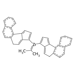 C[C](C)=[Zr]([C]1=CC=C2C1=CCc1ccc3ccccc3c12)[C]1=CC=C2C1=CCc1ccc3ccccc3c12